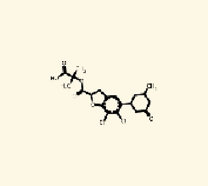 CC1CC(=O)CC(c2cc3c(c(Cl)c2Cl)OC(C(=O)OC(C)(C)C(=O)O)C3)C1